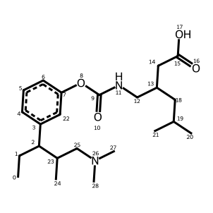 CCC(c1cccc(OC(=O)NCC(CC(=O)O)CC(C)C)c1)C(C)CN(C)C